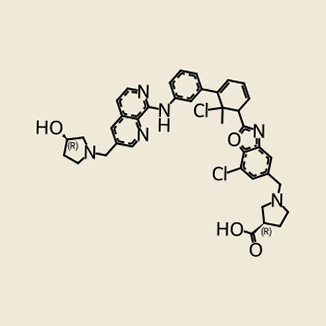 CC1(Cl)C(c2cccc(Nc3nccc4cc(CN5CC[C@@H](O)C5)cnc34)c2)=CC=CC1c1nc2cc(CN3CC[C@@H](C(=O)O)C3)cc(Cl)c2o1